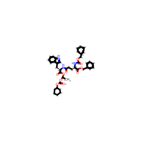 CC(OC(=O)OC1CCCCC1)OC(=O)[C@@H](Cc1c[nH]c2ccccc12)NC(=O)CC[C@@H](NC(=O)OCc1ccccc1)C(=O)OCc1ccccc1